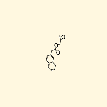 O=C(Cc1ccc2ccccc2c1)OCC1CO1